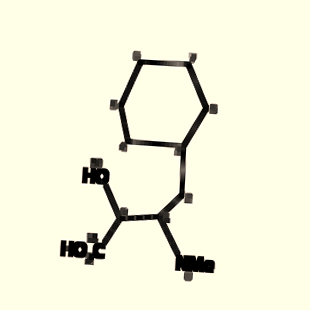 CNC(CC1CCCCC1)C(O)C(=O)O